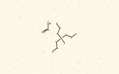 CCC[N+](C)(CCC)CCC.O=CO